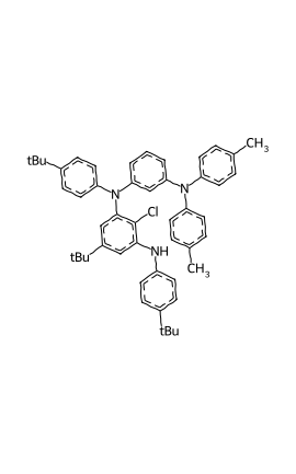 Cc1ccc(N(c2ccc(C)cc2)c2cccc(N(c3ccc(C(C)(C)C)cc3)c3cc(C(C)(C)C)cc(Nc4ccc(C(C)(C)C)cc4)c3Cl)c2)cc1